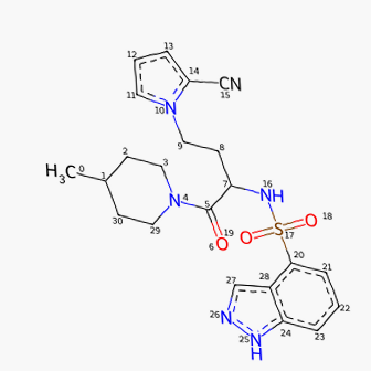 CC1CCN(C(=O)C(CCn2cccc2C#N)NS(=O)(=O)c2cccc3[nH]ncc23)CC1